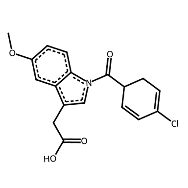 COc1ccc2c(c1)c(CC(=O)O)cn2C(=O)C1C=CC(Cl)=CC1